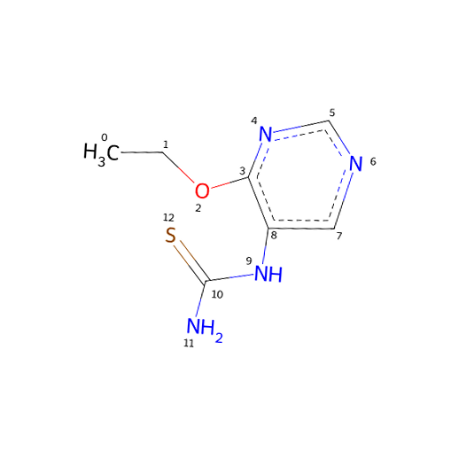 CCOc1ncncc1NC(N)=S